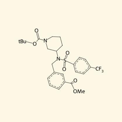 COC(=O)c1cccc(CN(C2CCCN(C(=O)OC(C)(C)C)C2)S(=O)(=O)c2ccc(C(F)(F)F)cc2)c1